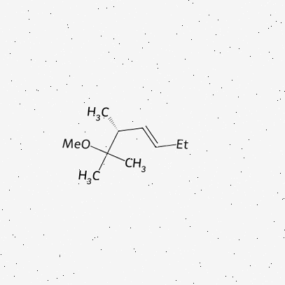 CC/C=C/[C@@H](C)C(C)(C)OC